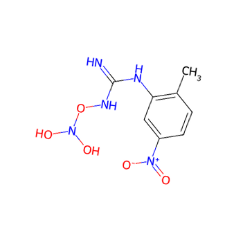 Cc1ccc([N+](=O)[O-])cc1NC(=N)NON(O)O